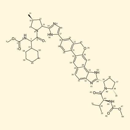 COC(=O)NC(C(=O)N1C[C@@H](C)CC1c1ncc(-c2ccc3c(c2)COc2cc4c(ccc5nc([C@@H]6CC[C@H](C)N6C(=O)[C@@H](NC(=O)OC)C(C)C)[nH]c54)cc2-3)[nH]1)C1CCCCC1